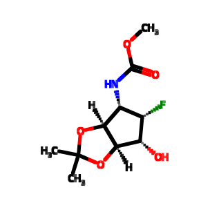 COC(=O)N[C@@H]1[C@H](F)[C@H](O)[C@H]2OC(C)(C)O[C@@H]12